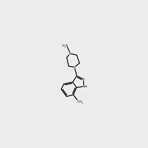 Cc1cccc2c(N3CCN(N)CC3)n[nH]c12